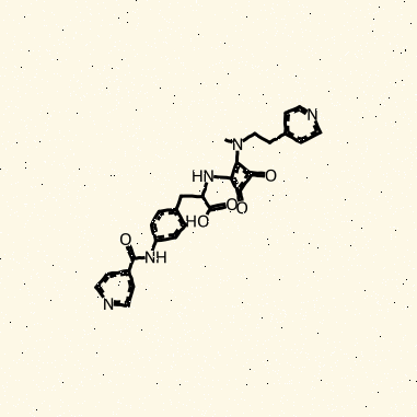 CN(CCc1ccncc1)c1c(NC(Cc2ccc(NC(=O)c3ccncc3)cc2)C(=O)O)c(=O)c1=O